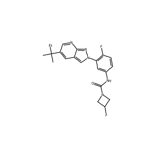 CCC(C)(C)c1cnc2nn(-c3cc(NC(=O)N4CC(F)C4)ccc3F)cc2c1